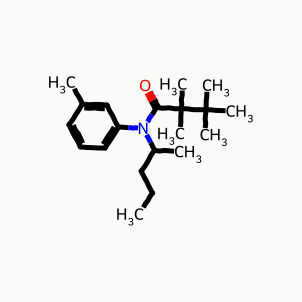 CCCC(C)N(C(=O)C(C)(C)C(C)(C)C)c1cccc(C)c1